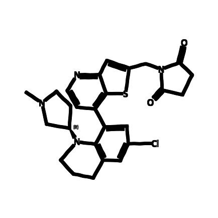 CN1CC[C@@H](N2CCCc3cc(Cl)cc(-c4ccnc5cc(CN6C(=O)CCC6=O)sc45)c32)C1